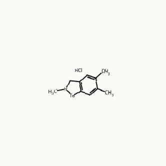 Cc1cc2c(cc1C)[Te]N(C)C2.Cl